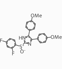 COc1ccc(-c2nc([S+]([O-])c3ccc(F)cc3F)[nH]c2-c2ccc(OC)cc2)cc1